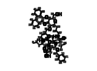 CC(C)CC(NC(=O)OC(C)(C)C)C(=O)NC(CC(=O)O)C(=NC(C(=O)NCCCC1OC(CO)C(OCc2ccccc2)C(OCc2ccccc2)C1OCc1ccccc1)C(C)C)OCc1ccccc1